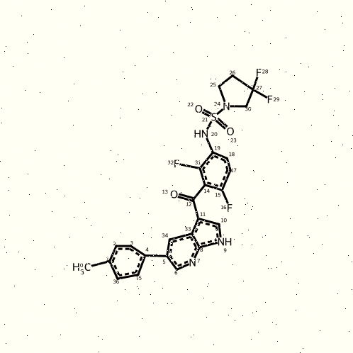 Cc1ccc(-c2cnc3[nH]cc(C(=O)c4c(F)ccc(NS(=O)(=O)N5CCC(F)(F)C5)c4F)c3c2)cc1